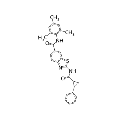 Cc1cc(C)c(NC(=O)c2ccc3nc(NC(=O)C4CC4c4ccccc4)sc3c2)c(C)c1